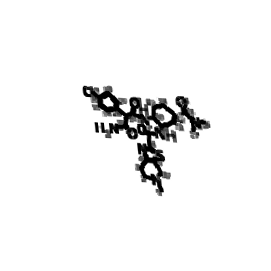 CN1CCc2nc(C(=O)N[C@@H]3C[C@@H](C(=O)N(C)C)CC[C@@H]3NC(=O)C(C(N)=O)c3ccc(Cl)cc3)sc2C1